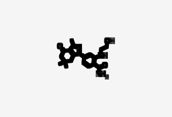 Cc1nn(-c2ccc(C(N)=O)c(NCCO)c2)c2c1C(=O)CC(C)(C)C2